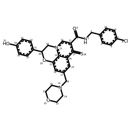 O=C(NCc1ccc(Cl)cc1)c1cn2c3c(cc(CN4CCOCC4)cc3c1=S)OC(c1ccc(O)cc1)C2